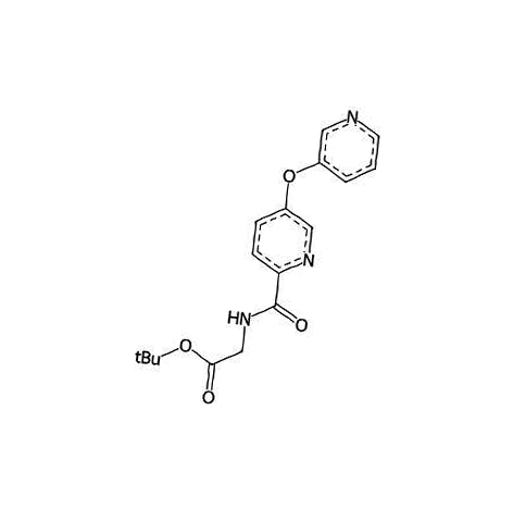 CC(C)(C)OC(=O)CNC(=O)c1ccc(Oc2cccnc2)cn1